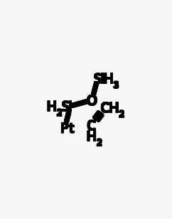 C=C.[SiH3]O[SiH2][Pt]